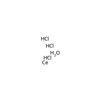 Cl.Cl.Cl.O.[Ce]